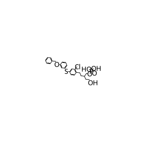 O=P(O)(O)OCC(CCO)CCc1ccc(Sc2cccc(OCc3ccccc3)c2)cc1Cl